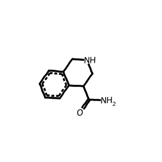 NC(=O)C1CNCc2ccccc21